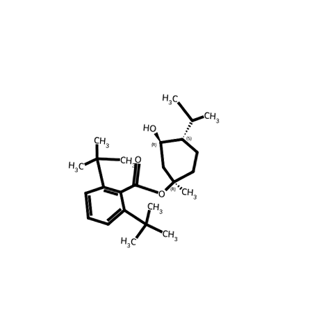 CC(C)[C@@H]1CC[C@@](C)(OC(=O)c2c(C(C)(C)C)cccc2C(C)(C)C)C[C@H]1O